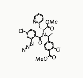 COC(=O)c1ccc(C(C)N(C(=O)c2ccc(Cl)cc2N=[N+]=[N-])[C@H](Cc2ccccn2)C(=O)OC)cc1Cl